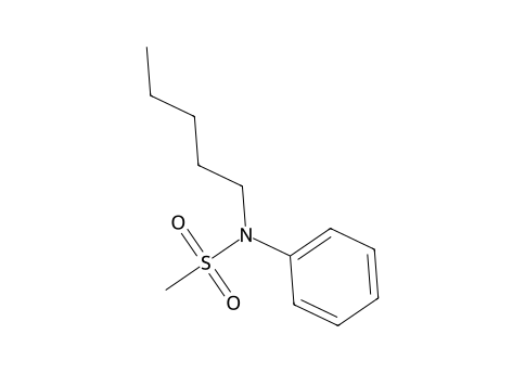 CCCCCN(c1ccccc1)S(C)(=O)=O